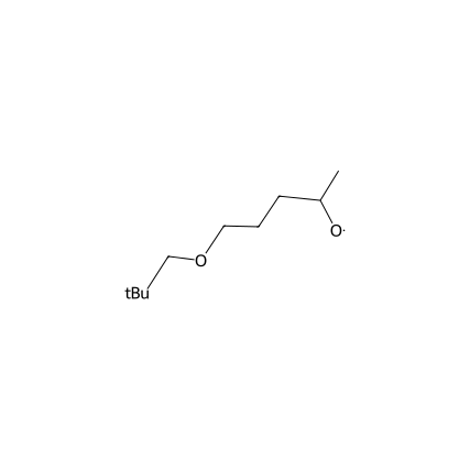 CC([O])CCCOCC(C)(C)C